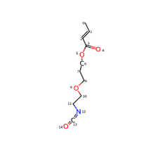 CC=CC(=O)OCCCOCCN=C=O